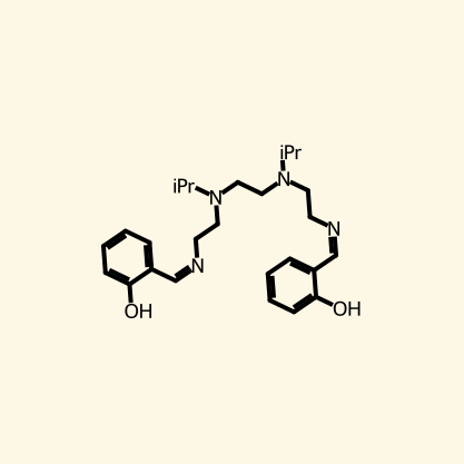 CC(C)N(CC/N=C\c1ccccc1O)CCN(CC/N=C\c1ccccc1O)C(C)C